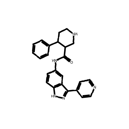 O=C(Nc1ccc2[nH]nc(-c3ccncc3)c2c1)C1CNCCC1c1ccccc1